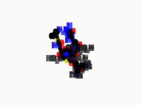 CCN(CC)c1ccc2c(-c3ccc(S(=O)(=O)NCCSSC[C@@H](NC(=O)[C@@H](CCCCNC(=O)CCSCC4c5ccccc5-c5ccccc54)NC(=O)[C@H](CC(=O)O)NC(=O)[C@@H](CC(=O)O)NC(=O)[C@H](CC(=O)O)NC(=O)CC[C@H](NC(=O)c4ccc(NCc5cnc6nc(N)[nH]c(=O)c6n5)cc4)C(=O)O)C(=O)O)cc3S(=O)(=O)O)c3ccc(=[N+](CC)CC)cc-3oc2c1